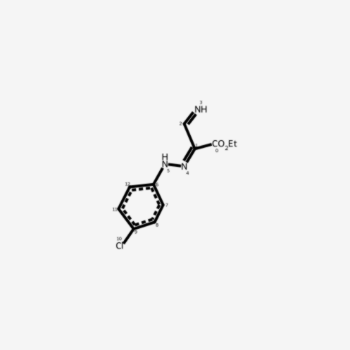 CCOC(=O)/C(C=N)=N/Nc1ccc(Cl)cc1